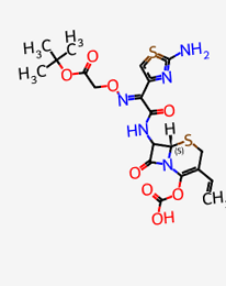 C=CC1=C(OC(=O)O)N2C(=O)C(NC(=O)C(=NOCC(=O)OC(C)(C)C)c3csc(N)n3)[C@@H]2SC1